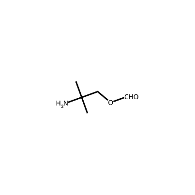 CC(C)(N)COC=O